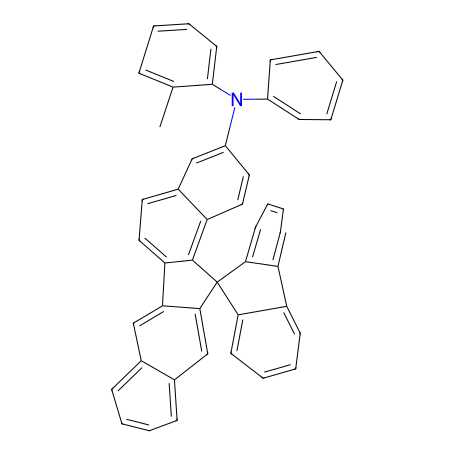 Cc1ccccc1N(c1ccccc1)c1ccc2c3c(ccc2c1)-c1cc2ccccc2cc1C31c2ccccc2-c2ccccc21